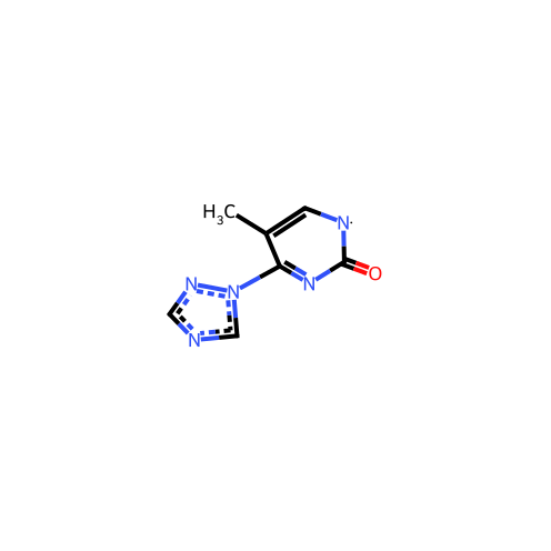 CC1=C[N]C(=O)N=C1n1cncn1